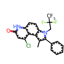 Cc1c(-c2ccccc2)n(CC(F)(F)C(F)(F)F)c2ccc3[nH]c(=O)cc(Cl)c3c12